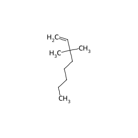 C=CC(C)(C)CCCCC